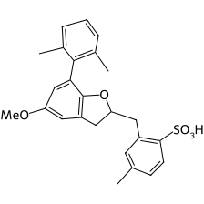 COc1cc2c(c(-c3c(C)cccc3C)c1)OC(Cc1cc(C)ccc1S(=O)(=O)O)C2